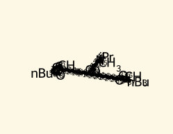 C=C=C=CC(CCCC)CC(=O)OCCCCCCCCCCC(CCCCCCCCCCOC(=O)CC(C)CCCC)OC(=O)CCCN(C)C(C)C